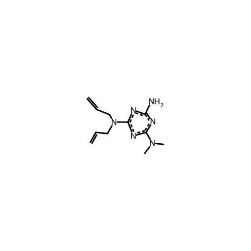 C=CCN(CC=C)c1nc(N)nc(N(C)C)n1